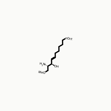 CCCCCCCCCCCCC/C=C/[C@@H](O)[C@@H](N)COC